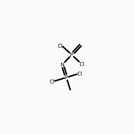 C=P(Cl)(Cl)N=P(C)(Cl)Cl